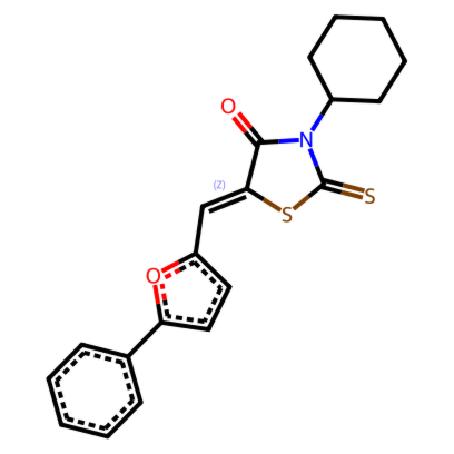 O=C1/C(=C/c2ccc(-c3ccccc3)o2)SC(=S)N1C1CCCCC1